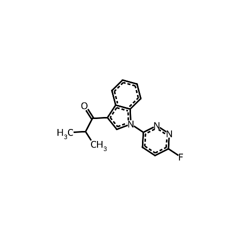 CC(C)C(=O)c1cn(-c2ccc(F)nn2)c2ccccc12